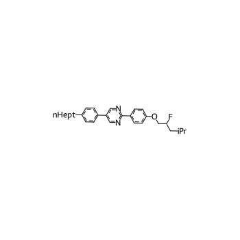 CCCCCCCc1ccc(-c2cnc(-c3ccc(OCC(F)CC(C)C)cc3)nc2)cc1